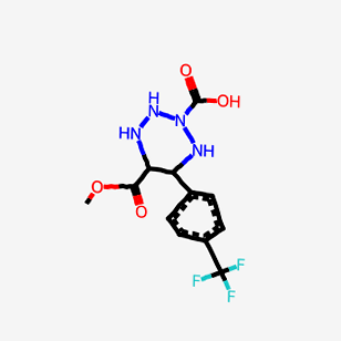 COC(=O)C1NNN(C(=O)O)NC1c1ccc(C(F)(F)F)cc1